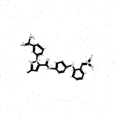 Cc1cc(C(=O)Nc2ccc(Oc3ccccc3C=S(=O)=O)cc2)n(-c2cccc(C(=N)N)c2)n1